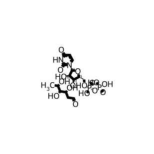 CC(O)C(O)C(O)CC=O.O=c1ccn([C@@H]2O[C@H](COP(=O)(O)OP(=O)(O)O)[C@@H](O)[C@H]2O)c(=O)[nH]1